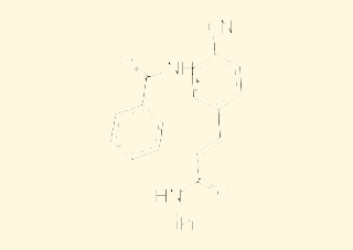 CC(C)NC(=O)C=Cc1ccc(C#N)cc1.NC(=O)c1ccccc1